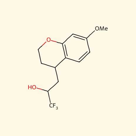 COc1ccc2c(c1)OCCC2CC(O)C(F)(F)F